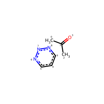 CC(C)=O.c1cnnnc1